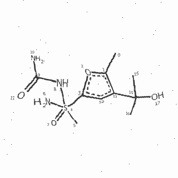 Cc1oc(S(C)(N)(=O)NC(N)=O)cc1C(C)(C)O